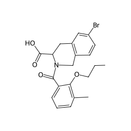 CCCOc1c(C)cccc1C(=O)N1Cc2ccc(Br)cc2CC1C(=O)O